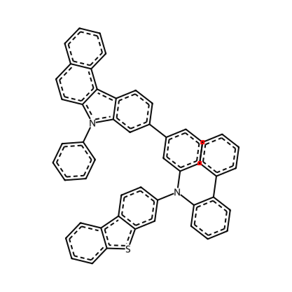 c1ccc(-c2ccccc2N(c2cccc(-c3ccc4c5c6ccccc6ccc5n(-c5ccccc5)c4c3)c2)c2ccc3c(c2)sc2ccccc23)cc1